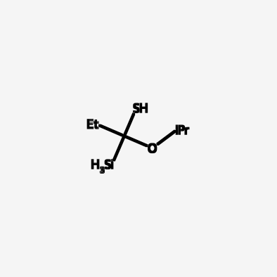 CCC([SiH3])(S)OC(C)C